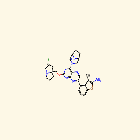 N#Cc1c(N)sc2cccc(-c3cnc4c(N5CC6CCC(C5)N6)nc(OCC56CCCN5C[C@H](F)C6)nc4n3)c12